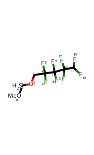 CO[SiH2]OCC(F)(F)C(F)(F)C(F)(F)C(F)F